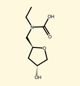 CCN(C[C@@H]1C[C@@H](O)CO1)C(=O)O